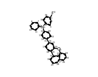 Fc1ccc(N(c2ccccc2)c2ccc(-c3ccc4c(c3)Oc3cccc5cccc-4c35)cc2)cc1